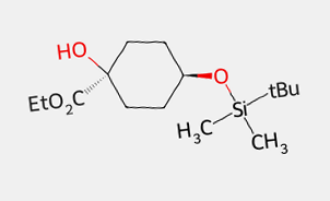 CCOC(=O)[C@]1(O)CC[C@@H](O[Si](C)(C)C(C)(C)C)CC1